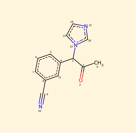 CC(=O)C(c1cccc(C#N)c1)n1ccnc1